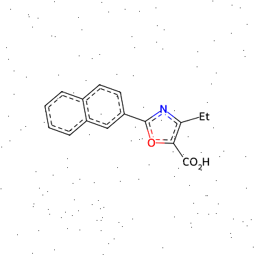 CCc1nc(-c2ccc3ccccc3c2)oc1C(=O)O